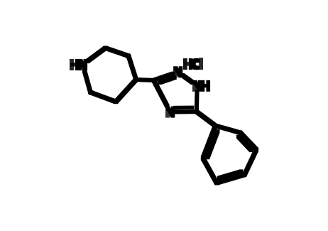 Cl.c1ccc(-c2nc(C3CCNCC3)n[nH]2)cc1